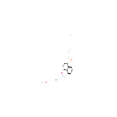 C=CC(=O)OCCCCCN1C(=O)c2cccc3c([S+]([O-])CCCCCCCCCCCC)ccc(c23)C1=O